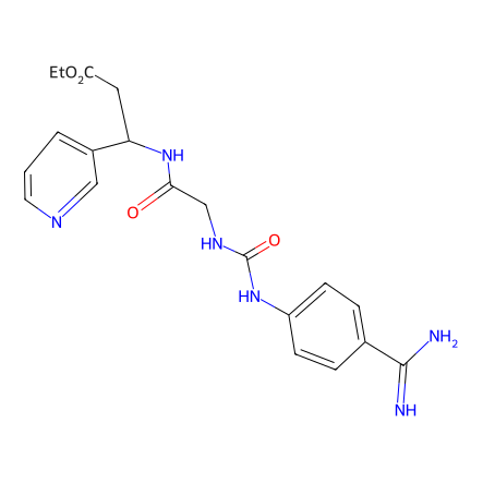 CCOC(=O)CC(NC(=O)CNC(=O)Nc1ccc(C(=N)N)cc1)c1cccnc1